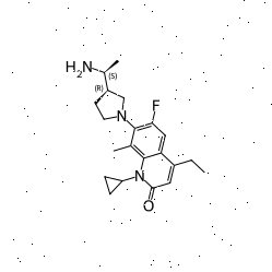 CCc1cc(=O)n(C2CC2)c2c(C)c(N3CC[C@@H]([C@H](C)N)C3)c(F)cc12